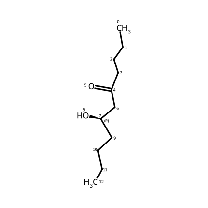 CCCCC(=O)C[C@H](O)CCCC